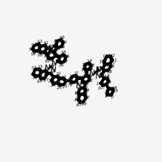 c1ccc(-c2ccc(-c3nc(-n4c5ccccc5c5c6c7ccc(-c8ccc9ccc(-c%10nc(-n%11c%12ccccc%12c%12c%13c%14ccccc%14n%14c%15cc%16ccccc%16cc%15c(cc%12%11)c%13%14)nc%11c%10ccc%10ccccc%10%11)cc9c8)cc7n7c8cc9ccccc9cc8c(cc54)c67)nc4c3ccc3ccccc34)cc2)cc1